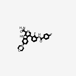 NC(=O)c1ncc(-c2cccc(NC(=O)c3ccc(F)cc3)c2F)c2c1[nH]c1cc(N3CCOCC3)ccc12